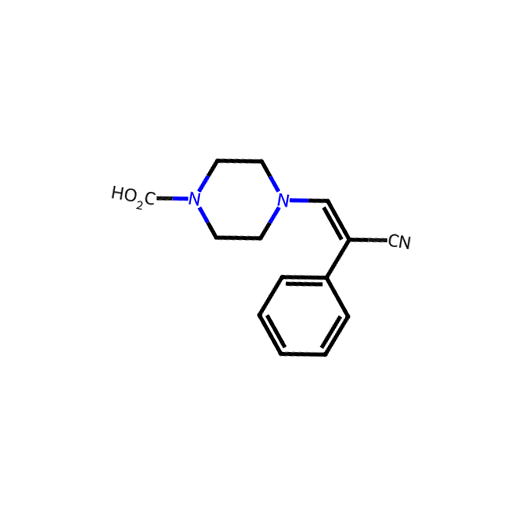 N#CC(=CN1CCN(C(=O)O)CC1)c1ccccc1